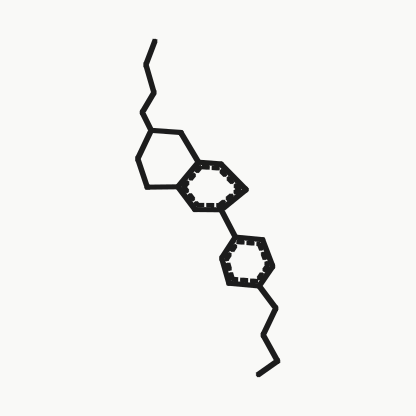 CCCCc1ccc(-c2ccc3c(c2)CCC(CCCC)C3)cc1